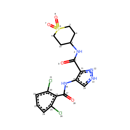 O=C(NC1CCS(=O)(=O)CC1)c1n[nH]cc1NC(=O)c1c(Cl)cccc1Cl